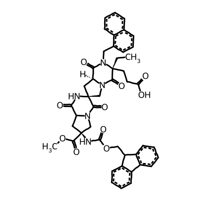 CC[C@@]1(CCC(=O)O)C(=O)N2C[C@]3(C[C@H]2C(=O)N1Cc1cccc2ccccc12)NC(=O)C1C[C@@](NC(=O)OCC2c4ccccc4-c4ccccc42)(C(=O)OC)CN1C3=O